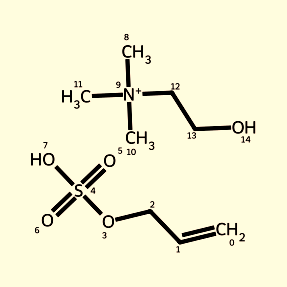 C=CCOS(=O)(=O)O.C[N+](C)(C)CCO